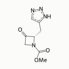 COC(=O)N1CC(=O)[C@@H]1Cc1cnn[nH]1